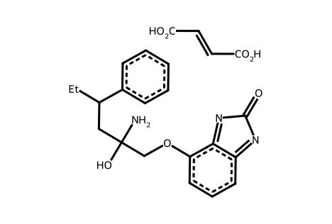 CCC(CC(N)(O)COc1cccc2c1=NC(=O)N=2)c1ccccc1.O=C(O)/C=C/C(=O)O